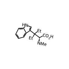 CCC(CC)(c1c[nH]c2ccccc12)[C@H](NC)C(=O)O